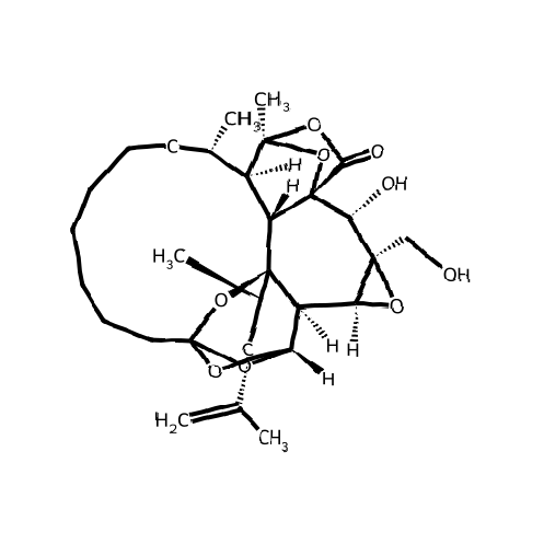 C=C(C)[C@]12C[C@@H](C)[C@]34OC5(CCCCCCC[C@H](C)[C@@H]6[C@@H]3[C@]3(O[C@]6(C)OC3=O)[C@H](O)[C@@]3(CO)O[C@H]3[C@H]4[C@H]1O5)O2